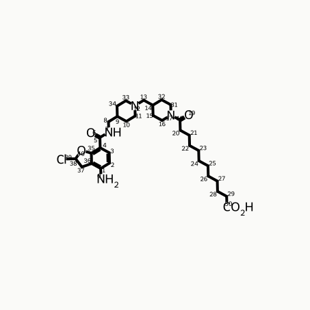 Nc1ccc(C(=O)NCC2CCN(CC3CCN(C(=O)CCCCCCCCCCC(=O)O)CC3)CC2)c2c1CC(Cl)O2